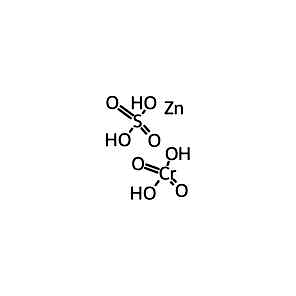 O=S(=O)(O)O.[O]=[Cr](=[O])([OH])[OH].[Zn]